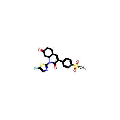 CS(=O)(=O)c1ccc(C(=CC2CCC(=O)CC2)C(=O)Nc2ncc(F)s2)cc1